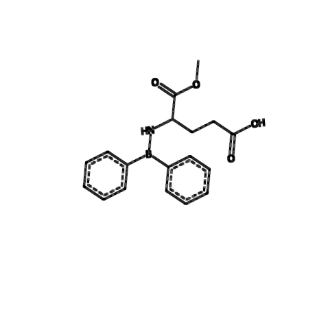 COC(=O)C(CCC(=O)O)NB(c1ccccc1)c1ccccc1